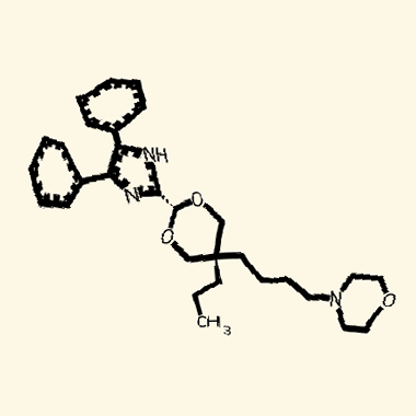 CCC[C@]1(CCCCN2CCOCC2)CO[C@@H](c2nc(-c3ccccc3)c(-c3ccccc3)[nH]2)OC1